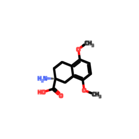 COc1ccc(OC)c2c1CC[C@](N)(C(=O)O)C2